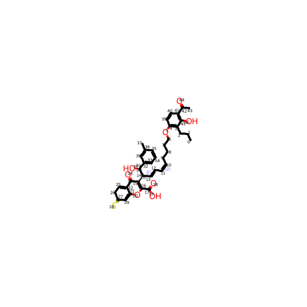 CCCc1c(OCCCC/C=C\C=C\[C@@H](c2c(C(=O)O)oc3c(c2=O)=CCC(=S)C=3)[C@@H](O)c2cccc(C)c2)ccc(C(C)=O)c1O